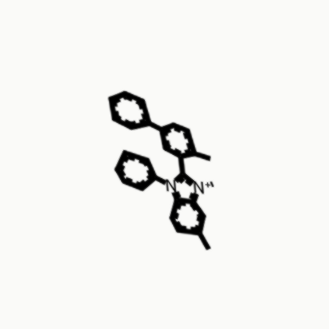 Cc1ccc2c(c1)[n+](C)c(-c1cc(-c3ccccc3)ccc1C)n2-c1ccccc1